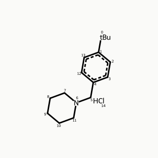 CC(C)(C)c1ccc(CN2CCCCC2)cc1.Cl